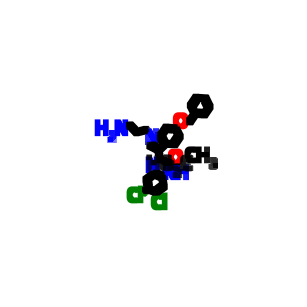 CC(=O)O.NCCCn1cc(-c2nc3cc(Cl)c(Cl)cc3[nH]c2=O)c2ccc(OCc3ccccc3)cc21